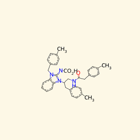 Cc1ccc(CC(=O)NCC(Cc2ccc(C)cc2)n2/c(=N\C(=O)O)n(Cc3ccc(C)cc3)c3ccccc32)cc1